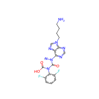 [N]N(C(=O)N(C(=O)O)c1c(F)cccc1F)c1ncnc2c1ncn2CCCCN